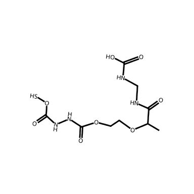 CC(OCCOC(=O)NNC(=O)OS)C(=O)NCNC(=O)O